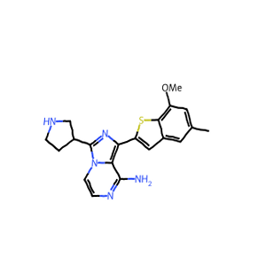 COc1cc(C)cc2cc(-c3nc(C4CCNC4)n4ccnc(N)c34)sc12